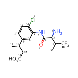 CC([C@H](N)C(=O)Nc1cc([C@H](C)CC(=O)O)ccc1Cl)C(F)(F)F